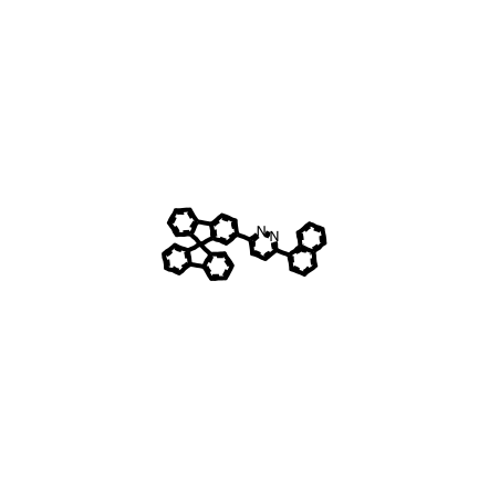 c1ccc2c(c1)-c1ccccc1C21c2ccccc2-c2ccc(-c3ccc(-c4cccc5ccccc45)nn3)cc21